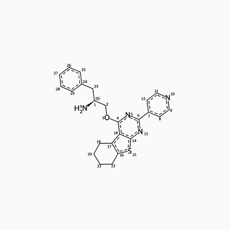 N[C@H](COc1nc(-c2ccncc2)nc2sc3c(c12)CCCC3)Cc1ccccc1